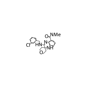 CNC(=O)c1cccc2c1N=C(NCc1cccc(Cl)c1)C1(CCOCC1)N2